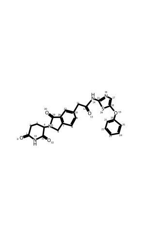 O=C1CCC(N2Cc3ccc(CC(=O)Nc4ncc(Oc5ccccc5)s4)cc3C2=O)C(=O)N1